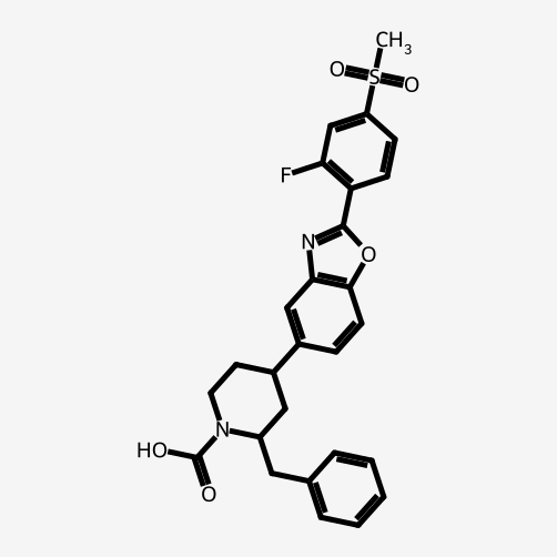 CS(=O)(=O)c1ccc(-c2nc3cc(C4CCN(C(=O)O)C(Cc5ccccc5)C4)ccc3o2)c(F)c1